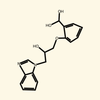 OC(COc1ccccc1C(O)O)Cn1cnc2ccccc21